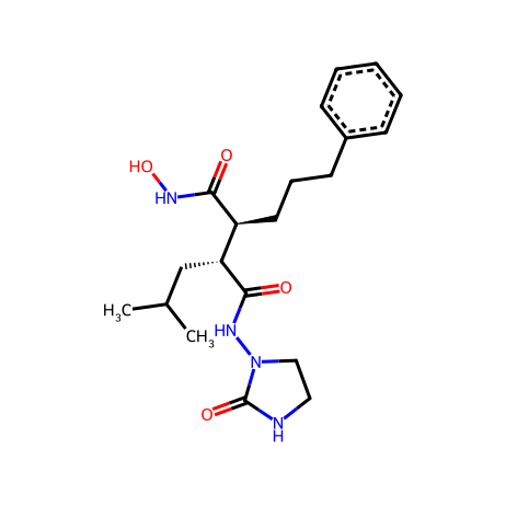 CC(C)C[C@@H](C(=O)NN1CCNC1=O)[C@H](CCCc1ccccc1)C(=O)NO